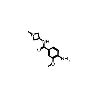 COc1cc(C(=O)NC2CN(C)C2)ccc1N